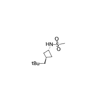 CC(C)(C)C[C@H]1C[C@H](NS(C)(=O)=O)C1